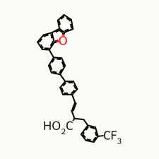 O=C(O)C(C=Cc1ccc(-c2ccc(-c3cccc4c3oc3ccccc34)cc2)cc1)Cc1cccc(C(F)(F)F)c1